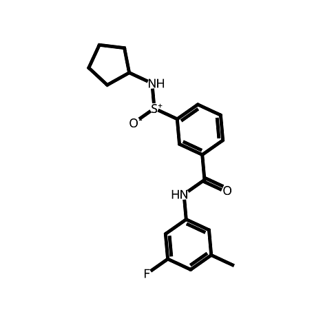 Cc1cc(F)cc(NC(=O)c2cccc([S+]([O-])NC3CCCC3)c2)c1